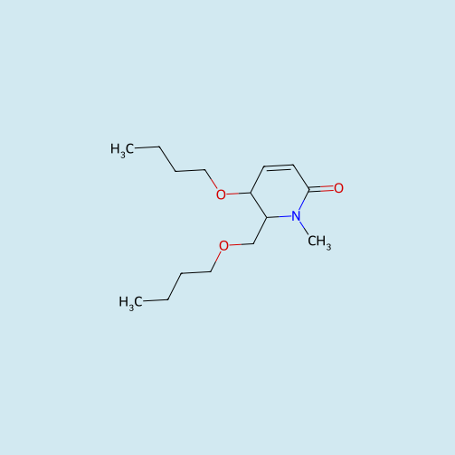 CCCCOCC1C(OCCCC)C=CC(=O)N1C